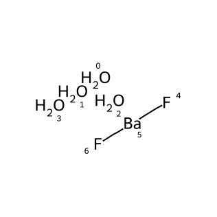 O.O.O.O.[F][Ba][F]